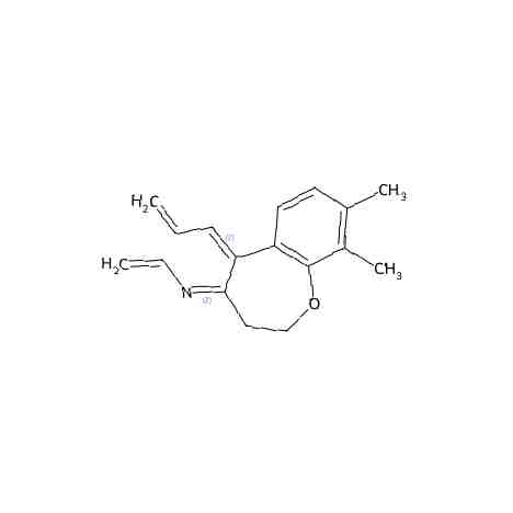 C=C/C=C1\C(=N/C=C)CCOc2c1ccc(C)c2C